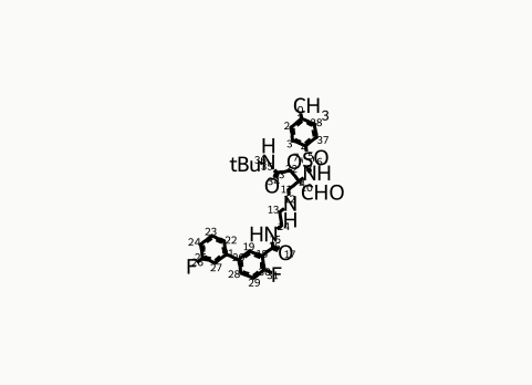 Cc1ccc(S(=O)(=O)N[C@@](C=O)(CNCCNC(=O)c2cc(-c3cccc(F)c3)ccc2F)CC(=O)NC(C)(C)C)cc1